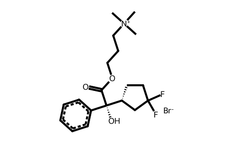 C[N+](C)(C)CCCOC(=O)[C@](O)(c1ccccc1)[C@@H]1CCC(F)(F)C1.[Br-]